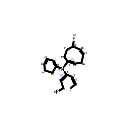 C/C=C\C(=C/CF)N(C1=CC=CCC1)/C1=C/CC=CC(F)CC1